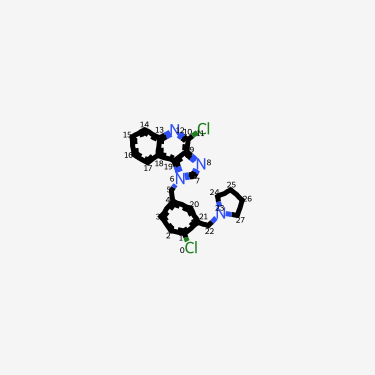 Clc1ccc(Cn2cnc3c(Cl)nc4ccccc4c32)cc1CN1CCCC1